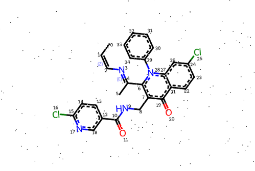 C/C=C\N=C(/C)c1c(CNC(=O)c2ccc(Cl)nc2)c(=O)c2ccc(Cl)cc2n1-c1ccccc1